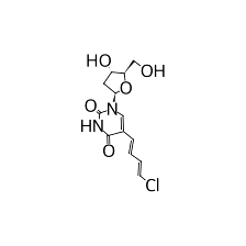 O=c1[nH]c(=O)n([C@H]2C[C@H](O)[C@@H](CO)O2)cc1C=CC=CCl